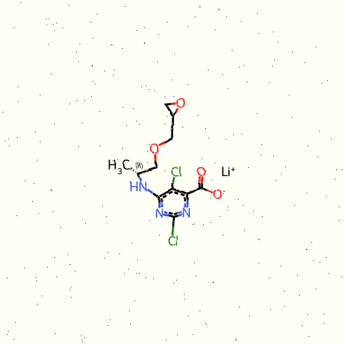 C[C@H](COCC1CO1)Nc1nc(Cl)nc(C(=O)[O-])c1Cl.[Li+]